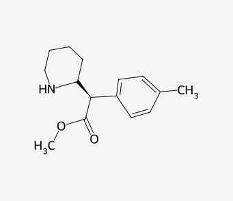 COC(=O)[C@H](c1ccc(C)cc1)C1CCCCN1